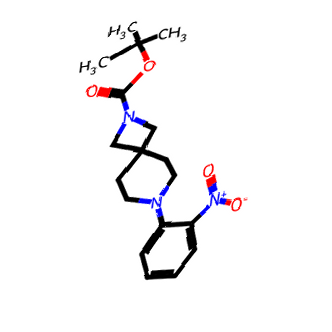 CC(C)(C)OC(=O)N1CC2(CCN(c3ccccc3[N+](=O)[O-])CC2)C1